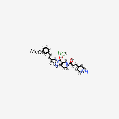 COc1cccc(CC[C@H](CNC(=O)[C@@H]2CCCN(C(=O)CCC3CCNCC3)C2)C(=O)O)c1.Cl